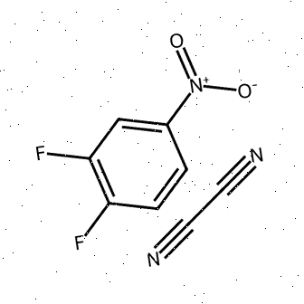 N#CC#N.O=[N+]([O-])c1ccc(F)c(F)c1